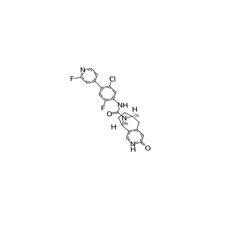 O=C(Nc1cc(Cl)c(-c2ccnc(F)c2)cc1F)N1[C@H]2CC[C@@H]1c1c[nH]c(=O)cc1C2